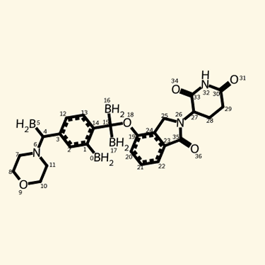 Bc1cc(C(B)N2CCOCC2)ccc1C(B)(B)Oc1cccc2c1CN(C1CCC(=O)NC1=O)C2=O